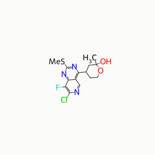 CSc1nc(C2CCOC(C)(O)C2)c2cnc(Cl)c(F)c2n1